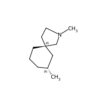 C[C@@H]1CCC[C@]2(CCN(C)C2)C1